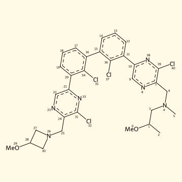 COC(C)CN(C)Cc1ncc(-c2cccc(-c3cccc(-c4cnc(CN5CC(OC)C5)c(Cl)n4)c3Cl)c2Cl)nc1Cl